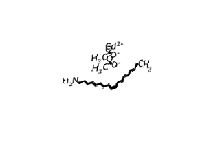 CC(=O)[O-].CC(=O)[O-].CCCCCCCC/C=C\CCCCCCCCN.[Cd+2]